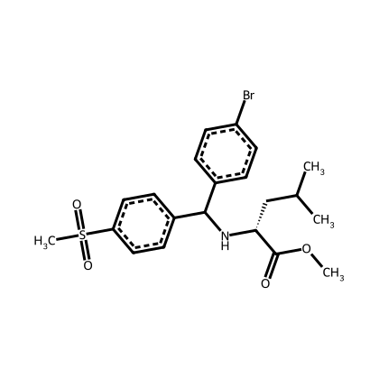 COC(=O)[C@@H](CC(C)C)NC(c1ccc(Br)cc1)c1ccc(S(C)(=O)=O)cc1